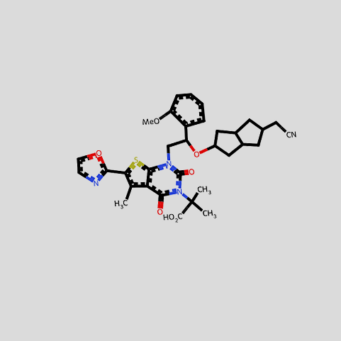 COc1ccccc1C(Cn1c(=O)n(C(C)(C)C(=O)O)c(=O)c2c(C)c(-c3ncco3)sc21)OC1CC2CC(CC#N)CC2C1